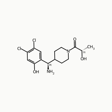 C[C@H](O)C(=O)N1CCC([C@@H](N)c2cc(Cl)c(Cl)cc2O)CC1